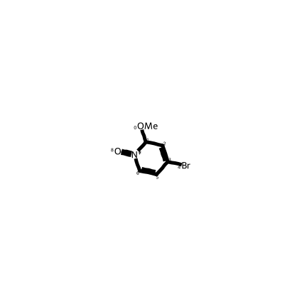 COC1C=C(Br)C=C[N+]1=O